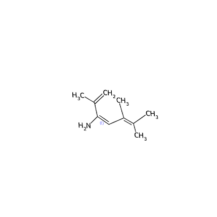 C=C(C)/C(N)=C\C(C)=C(C)C